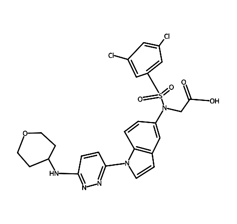 O=C(O)CN(c1ccc2c(ccn2-c2ccc(NC3CCOCC3)nn2)c1)S(=O)(=O)c1cc(Cl)cc(Cl)c1